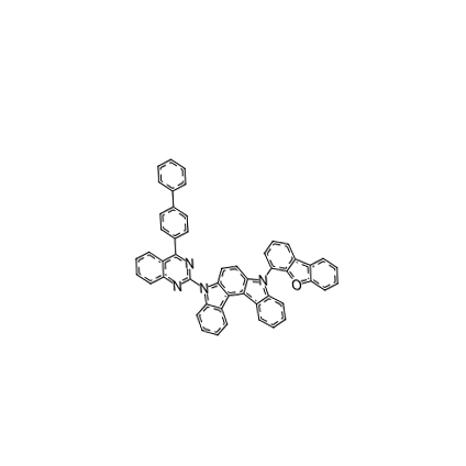 c1ccc(-c2ccc(-c3nc(-n4c5ccccc5c5c6c7ccccc7n(-c7cccc8c7oc7ccccc78)c6ccc54)nc4ccccc34)cc2)cc1